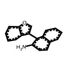 Nc1ccc2ccccc2c1-c1coc2ccccc12